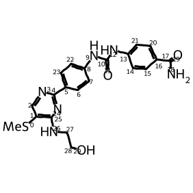 CSc1cnc(-c2ccc(NC(=O)Nc3ccc(C(N)=O)cc3)cc2)nc1NCCO